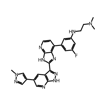 CN(C)CCNc1cc(F)cc(-c2ccnc3[nH]c(-c4n[nH]c5ncc(-c6cnn(C)c6)cc45)nc23)c1